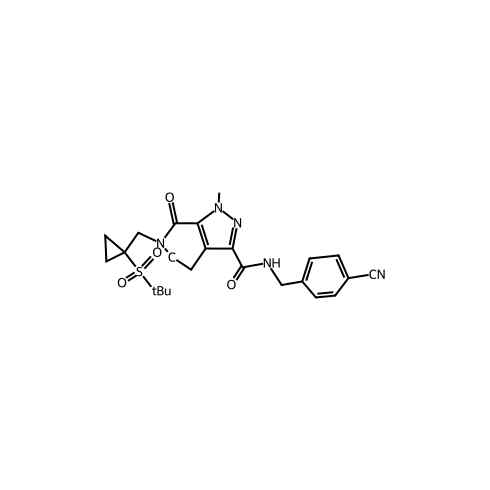 Cn1nc(C(=O)NCc2ccc(C#N)cc2)c2c1C(=O)N(CC1(S(=O)(=O)C(C)(C)C)CC1)CC2